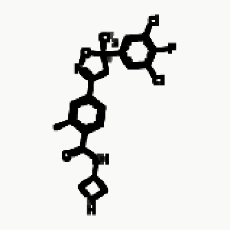 Cc1cc(C2=NO[C@@](c3cc(Cl)c(F)c(Cl)c3)(C(F)(F)F)C2)ccc1C(=O)NC1CNC1